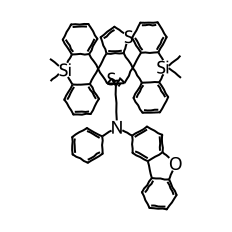 C[Si]1(C)c2ccccc2C2(c3ccccc31)c1cc(N(c3ccccc3)c3ccc4oc5ccccc5c4c3)sc1C1(c3ccccc3[Si](C)(C)c3ccccc31)c1ccsc12